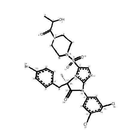 CC(O)C(=O)N1CCN(S(=O)(=O)c2cnc3n2[C@](C)(Cc2ccc(Br)cc2)C(=O)N3c2cc(Cl)cc(Cl)c2)CC1